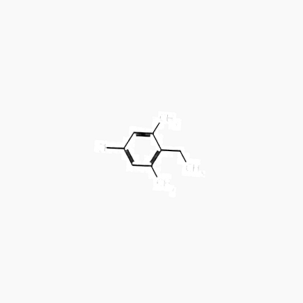 CCc1c(C)cc(Cl)cc1C